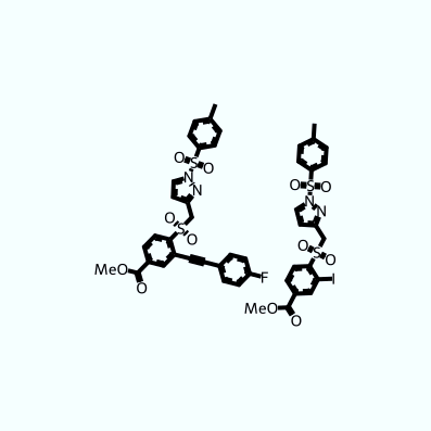 COC(=O)c1ccc(S(=O)(=O)Cc2ccn(S(=O)(=O)c3ccc(C)cc3)n2)c(C#Cc2ccc(F)cc2)c1.COC(=O)c1ccc(S(=O)(=O)Cc2ccn(S(=O)(=O)c3ccc(C)cc3)n2)c(I)c1